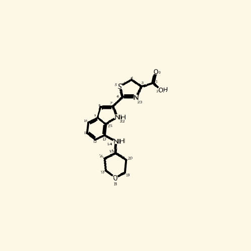 O=C(O)C1CSC(c2cc3cccc(NC4CCOCC4)c3[nH]2)=N1